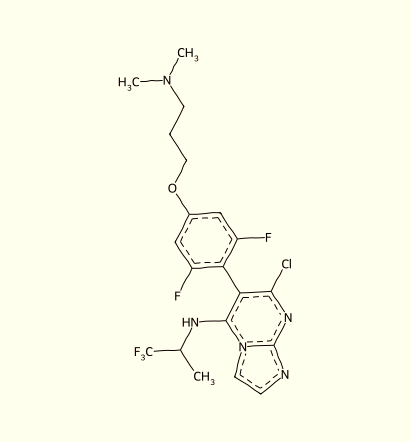 CC(Nc1c(-c2c(F)cc(OCCCN(C)C)cc2F)c(Cl)nc2nccn12)C(F)(F)F